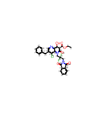 CCOC(=O)c1c(O)c2ncc(Cc3ccccc3)c(Cl)c2n(CC(F)(F)CN2C(=O)c3ccccc3C2=O)c1=O